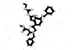 CCOC(=O)Oc1cc2c(C(=O)CN(Cc3ccccc3)C(C)CC(=O)OC)ccc(OCc3ccccc3)c2[nH]1